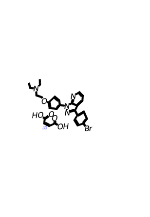 CCN(CC)CCOc1ccc(-n2nc(-c3ccc(Br)cc3)c3cccnc32)cc1.O=C(O)/C=C\C(=O)O